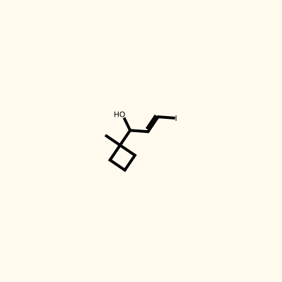 CC1(C(O)C=CI)CCC1